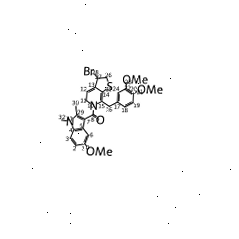 COc1ccc2c(c1)c(C(=O)N1CC=C3C(=C1Cc1ccc(OC)c(OC)c1)SCC3Br)c(C)n2C